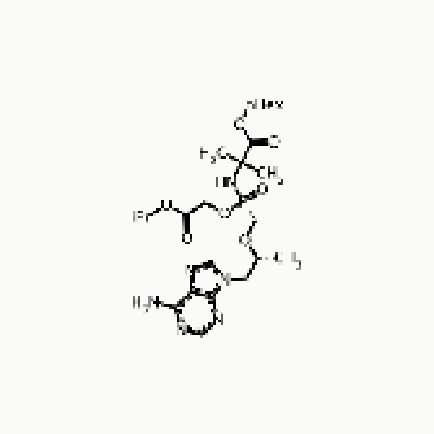 CCCCCCOC(=O)C(C)(C)N[P@](=O)(CO[C@H](C)Cn1cnc2c(N)ncnc21)OCC(=O)OC(C)C